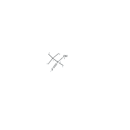 CC(C)(C)P(C)(O)=S